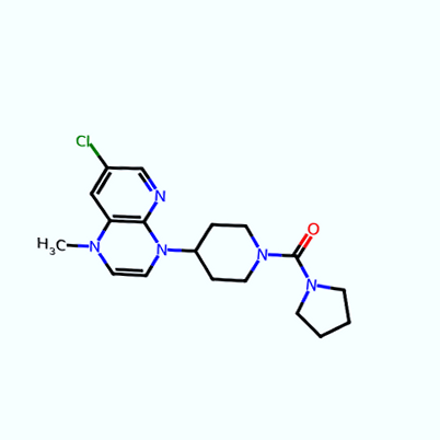 CN1C=CN(C2CCN(C(=O)N3CCCC3)CC2)c2ncc(Cl)cc21